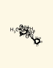 CC1=NC([C@@](C)(CC2CC2)NC(=O)OCc2ccccc2)NO1